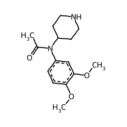 COc1ccc(N(C(C)=O)C2CCNCC2)cc1OC